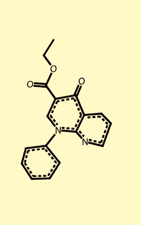 CCOC(=O)c1cn(-c2ccccc2)c2ncccc2c1=O